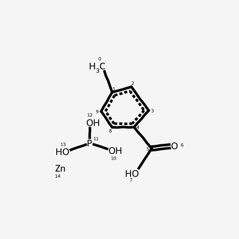 Cc1ccc(C(=O)O)cc1.OP(O)O.[Zn]